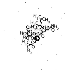 CC(C)CC[C@H](C(=O)N[C@@H](CCCNC(N)=O)C(=O)Nc1ccc(COC(=O)C(C)C)cc1O[C@@H]1O[C@H](CO)[C@@H](O)[C@H](O)[C@H]1O)C(C)C